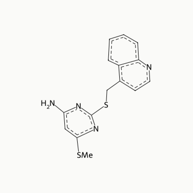 CSc1cc(N)nc(SCc2ccnc3ccccc23)n1